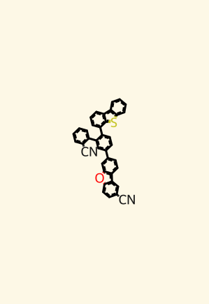 N#Cc1ccc2oc3cc(-c4ccc(-c5cccc6c5sc5ccccc56)c(-c5ccccc5C#N)c4)ccc3c2c1